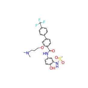 CN(C)CCCOc1cc(-c2ccc(C(F)(F)F)cc2)ccc1C(=O)Nc1ccc(O)c(NS(C)(=O)=O)c1